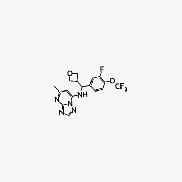 Cc1cc(NC(c2ccc(OC(F)(F)F)c(F)c2)C2COC2)n2ncnc2n1